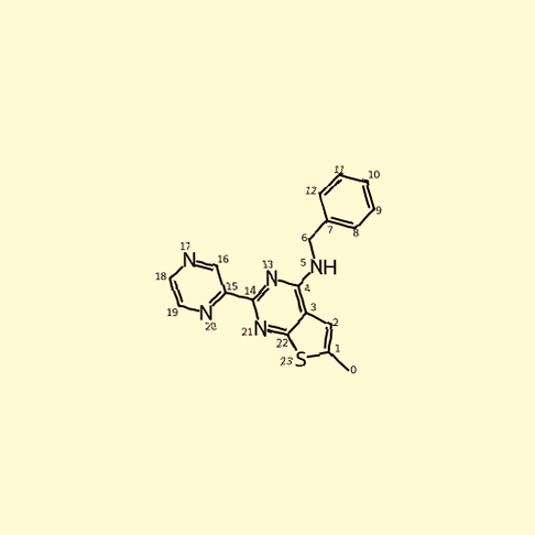 Cc1cc2c(NCc3ccccc3)nc(-c3cnccn3)nc2s1